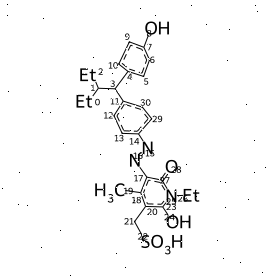 CCC(CC)C(c1ccc(O)cc1)c1ccc(/N=N/c2c(C)c(CS(=O)(=O)O)c(O)n(CC)c2=O)cc1